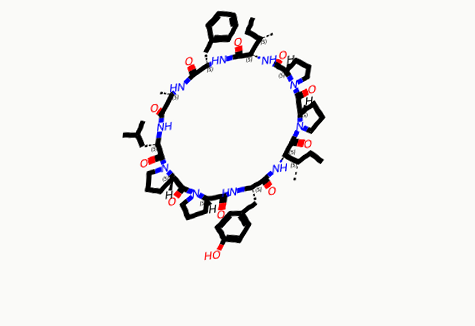 CC[C@H](C)[C@@H]1NC(=O)[C@@H]2CCCN2C(=O)[C@@H]2CCCN2C(=O)[C@H]([C@@H](C)CC)NC(=O)[C@H](Cc2ccc(O)cc2)NC(=O)[C@@H]2CCCN2C(=O)[C@@H]2CCCN2C(=O)[C@H](CC(C)C)NC(=O)[C@H](C)NC(=O)[C@H](Cc2ccccc2)NC1=O